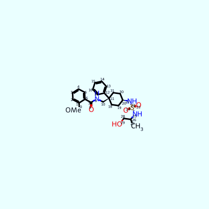 COc1ccccc1C(=O)NC[C@]1(c2ccccc2)CC[C@H](NS(=O)(=O)NC(C)CO)CC1